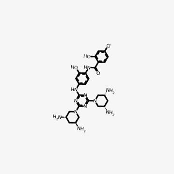 N[C@@H]1C[C@H](N)CN(c2nc(Nc3ccc(NC(=O)c4ccc(Cl)cc4O)c(O)c3)nc(N3C[C@H](N)C[C@H](N)C3)n2)C1